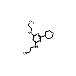 NCCNc1nc(NCCN)nc(N2CCOCC2)n1